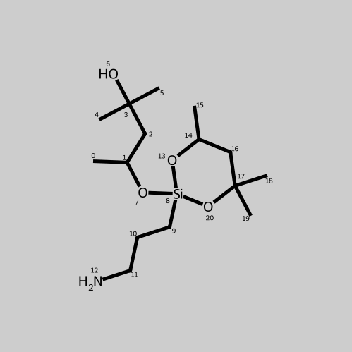 CC(CC(C)(C)O)O[Si]1(CCCN)OC(C)CC(C)(C)O1